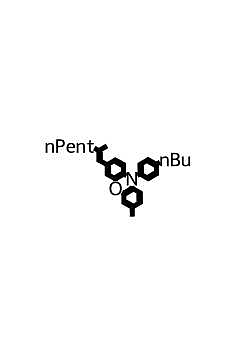 CCCCCC(C)=Cc1ccc2c(c1)Oc1cc(C)ccc1N2c1ccc(CCCC)cc1